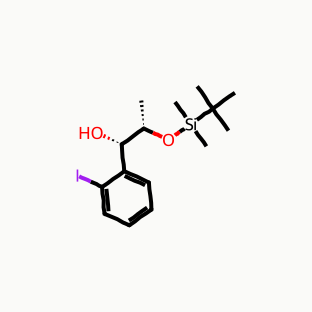 C[C@H](O[Si](C)(C)C(C)(C)C)[C@@H](O)c1ccccc1I